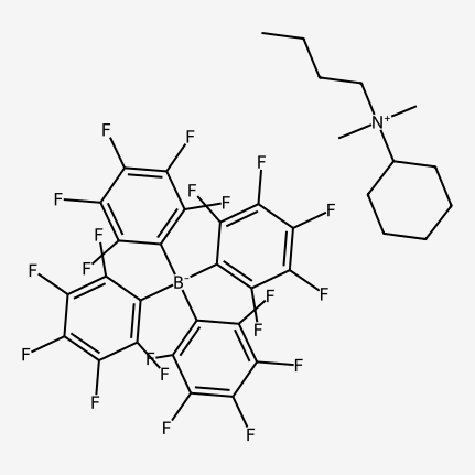 CCCC[N+](C)(C)C1CCCCC1.Fc1c(F)c(F)c([B-](c2c(F)c(F)c(F)c(F)c2F)(c2c(F)c(F)c(F)c(F)c2F)c2c(F)c(F)c(F)c(F)c2F)c(F)c1F